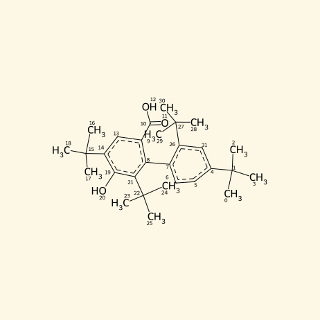 CC(C)(C)c1ccc(-c2c(C(=O)O)cc(C(C)(C)C)c(O)c2C(C)(C)C)c(C(C)(C)C)c1